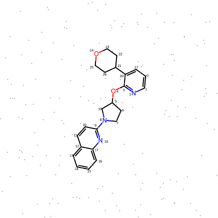 c1cnc(OC2CCN(c3ccc4ccccc4n3)C2)c(C2CCOCC2)c1